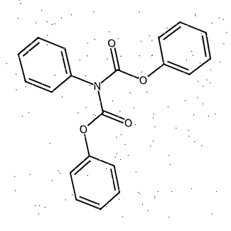 O=C(Oc1ccccc1)N(C(=O)Oc1ccccc1)c1ccccc1